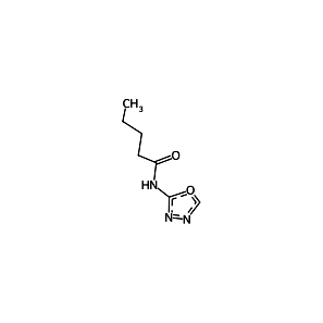 CCCCC(=O)Nc1nnco1